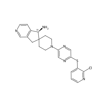 N[C@@H]1c2ccncc2CC12CCN(c1cnc(Sc3cccnc3Cl)cn1)CC2